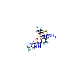 NC1=N[C@@]2(c3cc(NC(=O)c4cnc(C(F)F)cn4)cc(F)c3F)CO[C@H](C(F)(F)F)[C@H]2CS1